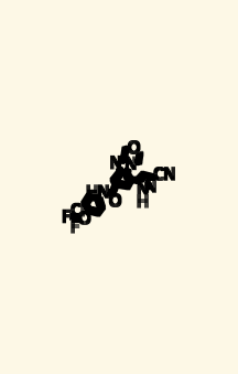 N#Cc1cc(-c2cc(C(=O)Nc3ccc(OC(F)(F)Cl)cc3)cc3nc4n(c23)CCOC4)[nH]n1